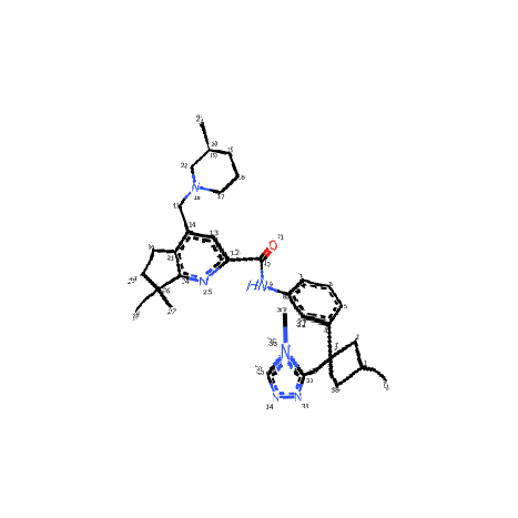 CC1CC(c2cccc(NC(=O)c3cc(CN4CCC[C@H](C)C4)c4c(n3)C(C)(C)CC4)c2)(c2nncn2C)C1